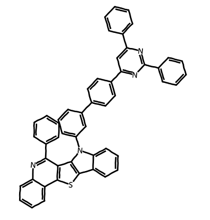 c1ccc(-c2cc(-c3ccc(-c4cccc(-n5c6ccccc6c6sc7c8ccccc8nc(-c8ccccc8)c7c65)c4)cc3)nc(-c3ccccc3)n2)cc1